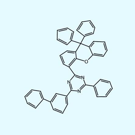 c1ccc(-c2cccc(-c3nc(-c4ccccc4)nc(-c4cccc5c4Oc4ccccc4C5(c4ccccc4)c4ccccc4)n3)c2)cc1